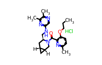 CCCOc1ccc(C)nc1C(=O)N1C[C@@H]2C[C@@H]2C[C@H]1CNc1cnc(C)c(C)n1.Cl